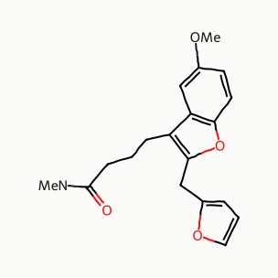 CNC(=O)CCCc1c(Cc2ccco2)oc2ccc(OC)cc12